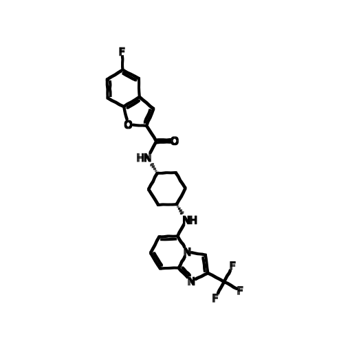 O=C(N[C@H]1CC[C@@H](Nc2cccc3nc(C(F)(F)F)cn23)CC1)c1cc2cc(F)ccc2o1